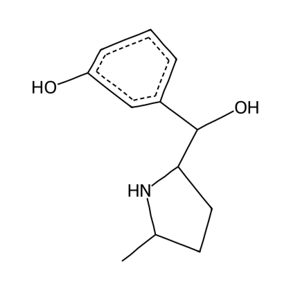 CC1CCC(C(O)c2cccc(O)c2)N1